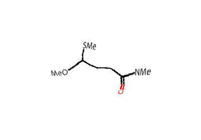 CNC(=O)CCC(OC)SC